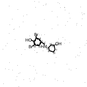 Oc1c(Br)cc(CN[C@H]2CCC[C@@H](O)C2)cc1Br